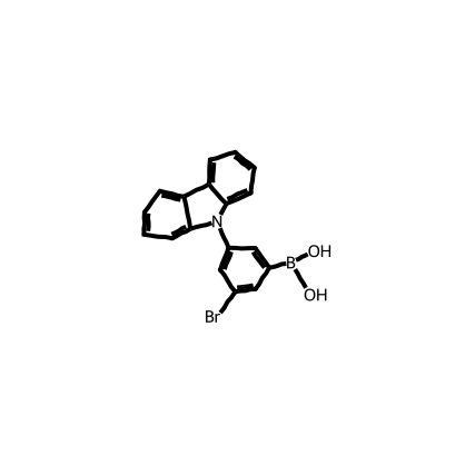 OB(O)c1cc(Br)cc(-n2c3ccccc3c3ccccc32)c1